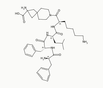 CC(C)C[C@@H](NC(=O)[C@@H](Cc1ccccc1)NC(=O)[C@H](N)Cc1ccccc1)C(=O)N[C@H](CCCCCN)C(=O)N1CCC2(CC1)CC(N)(C(=O)O)C2